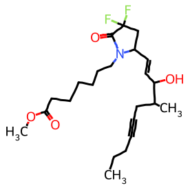 CCCC#CCC(C)C(O)/C=C/C1CC(F)(F)C(=O)N1CCCCCCC(=O)OC